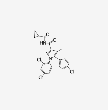 Cc1c(C(=O)NC(=O)C2CC2)nn(-c2ccc(Cl)cc2Cl)c1-c1ccc(Cl)cc1